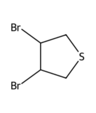 BrC1CSCC1Br